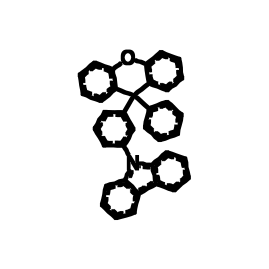 c1ccc(C2(c3cccc(-n4c5ccccc5c5ccccc54)c3)c3ccccc3Oc3ccccc32)cc1